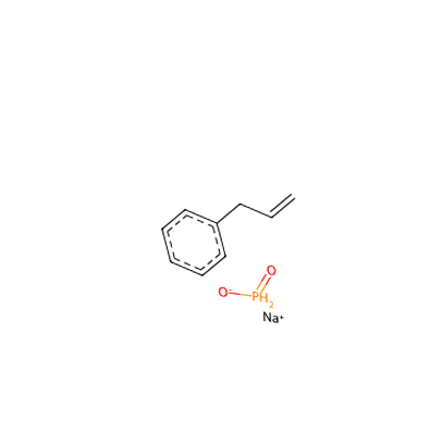 C=CCc1ccccc1.O=[PH2][O-].[Na+]